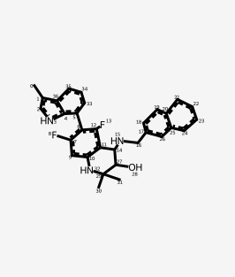 Cc1c[nH]c2c(-c3c(F)cc4c(c3F)C(NCc3ccc5ccccc5c3)C(O)C(C)(C)N4)cccc12